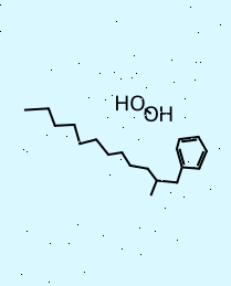 CCCCCCCCCCC(C)Cc1ccccc1.OO